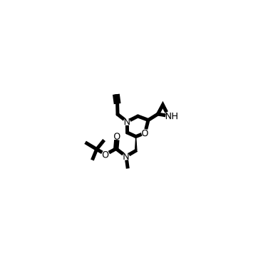 C#CCN1CC(C2CN2)O[C@@H](CN(C)C(=O)OC(C)(C)C)C1